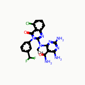 CCN(c1nc(N)nc(N)c1C(N)=O)c1nc2cccc(Cl)c2c(=O)n1-c1cccc(C(F)F)c1